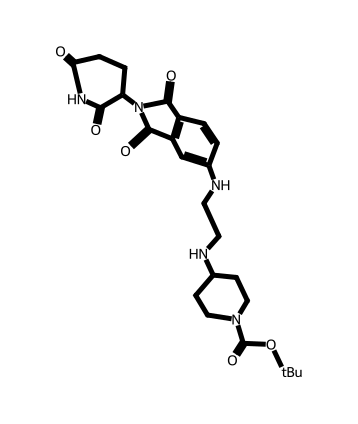 CC(C)(C)OC(=O)N1CCC(NCCNc2ccc3c(c2)C(=O)N(C2CCC(=O)NC2=O)C3=O)CC1